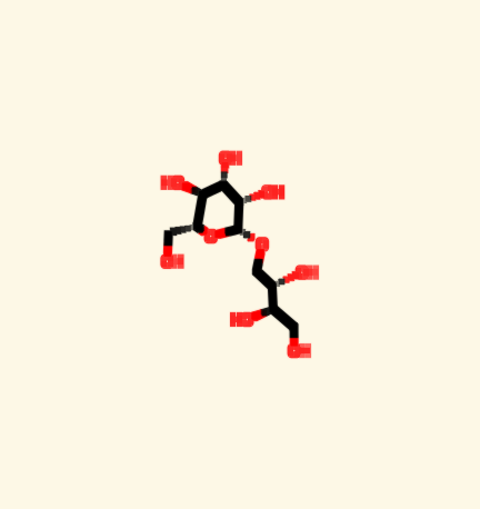 OC[C@@H](O)[C@@H](O)CO[C@@H]1O[C@H](CO)[C@@H](O)[C@H](O)[C@@H]1O